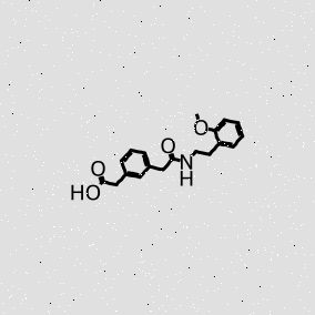 COc1ccccc1CCNC(=O)Cc1cccc(CC(=O)O)c1